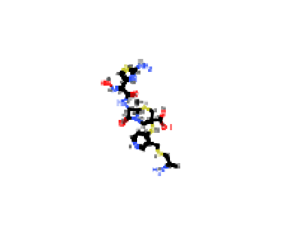 CC(N)CSCc1cnccc1SC1(C(=O)O)CS[C@@H]2[C@H](NC(=O)C(=NO)c3csc(N)n3)C(=O)N2C1